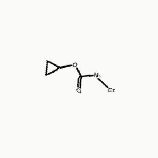 CC[N]C(=O)OC1CC1